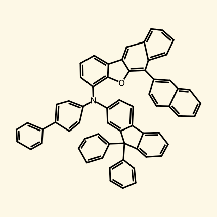 c1ccc(-c2ccc(N(c3ccc4c(c3)C(c3ccccc3)(c3ccccc3)c3ccccc3-4)c3cccc4c3oc3c(-c5ccc6ccccc6c5)c5ccccc5cc34)cc2)cc1